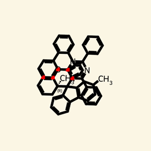 CC1C=CC2=C(C1)C1(c3ccccc32)c2cccc(-c3ccccc3-c3ccccc3-c3nc(-c4ccccc4)nc(-c4ccccc4)n3)c2OC2=CC=CC[C@@]21C